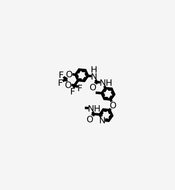 CNC(=O)c1cc(Oc2ccc(NC(=O)Nc3ccc4c(c3)C(F)(F)OC(F)(F)O4)c(C)c2)ccn1